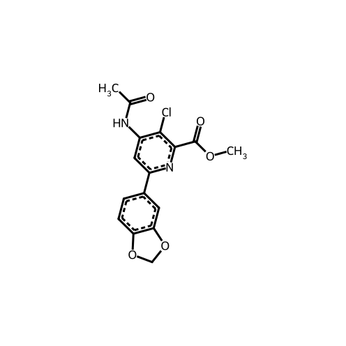 COC(=O)c1nc(-c2ccc3c(c2)OCO3)cc(NC(C)=O)c1Cl